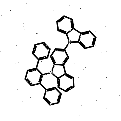 c1ccc(-c2cccc(-c3ccccc3)c2-n2c3ccccc3c3cc(-n4c5ccccc5c5ccccc54)ccc32)cc1